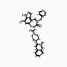 O=C(C[C@@H]1Cc2cc(Cl)c3[nH]ncc3c2CN(Cc2ccncc2)C1=O)N1CCC(c2cc3ccccc3c[n+]2[O-])CC1